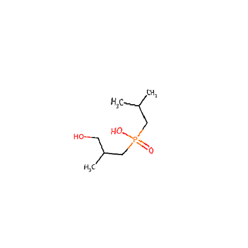 CC(C)CP(=O)(O)CC(C)CO